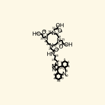 CN1Cc2ccccc2-c2c(nnn2CCCNC(=O)CN2CCN(CC(=O)O)CCN(CC(=O)O)CCN(CC(=O)O)CC2)-c2ccccc21